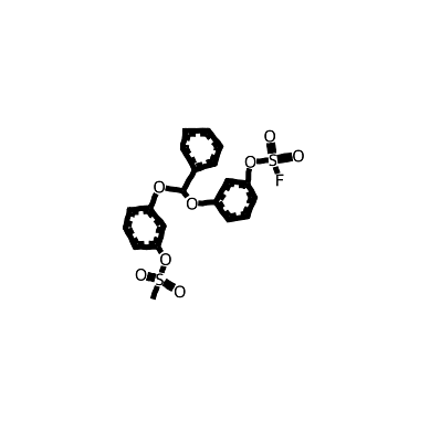 CS(=O)(=O)Oc1cccc(OC(Oc2cccc(OS(=O)(=O)F)c2)c2ccccc2)c1